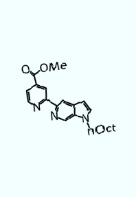 CCCCCCCCn1ccc2cc(-c3cc(C(=O)OC)ccn3)ncc21